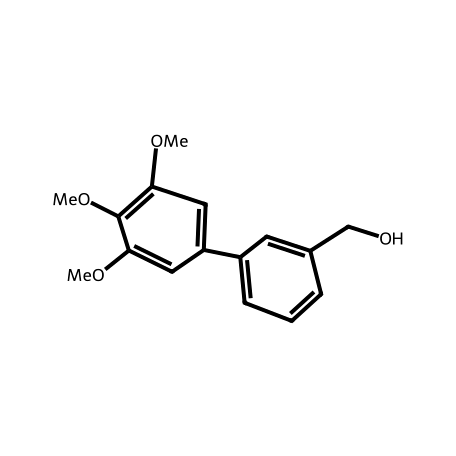 COc1cc(-c2cccc(CO)c2)cc(OC)c1OC